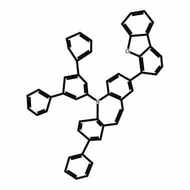 C1=Cc2cc(-c3cccc4c3oc3ccccc34)ccc2N(c2cc(-c3ccccc3)cc(-c3ccccc3)c2)c2ccc(-c3ccccc3)cc21